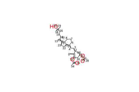 C=C1/C(=C\C=C2/CCC[C@]3(C)C(C(C)CCCC(C)(C)O)=CCC23)CC(OC(C)=O)C[C@@H]1OC(C)=O